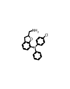 NCC1Cc2cccc(N(c3ccccc3)c3ccc(Cl)cc3)c2O1